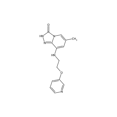 Cc1cc(NCCOc2cccnc2)c2n[nH]c(=O)n2c1